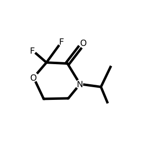 CC(C)N1CCOC(F)(F)C1=O